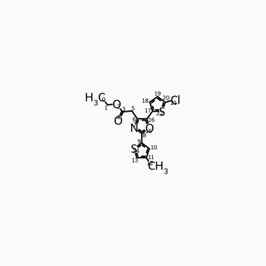 CCOC(=O)Cc1nc(-c2cc(C)cs2)oc1-c1ccc(Cl)s1